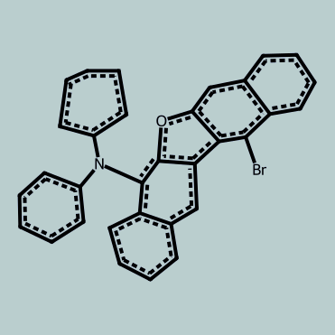 Brc1c2ccccc2cc2oc3c(N(c4ccccc4)c4ccccc4)c4ccccc4cc3c12